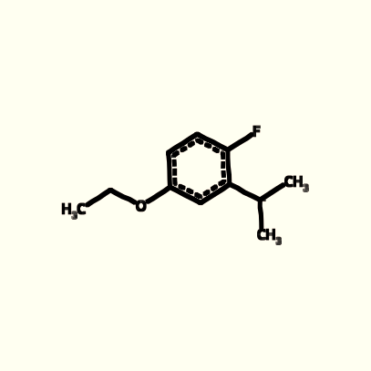 CCOc1ccc(F)c([C](C)C)c1